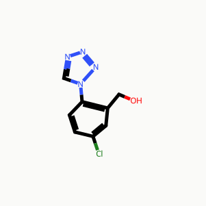 OCc1cc(Cl)ccc1-n1cnnn1